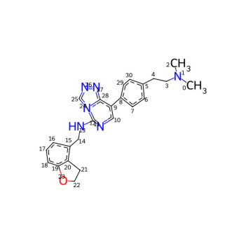 CN(C)CCc1ccc(-c2cnc(NCc3cccc4c3CCO4)n3cnnc23)cc1